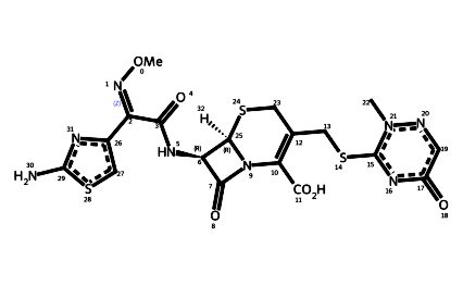 CO/N=C(\C(=O)N[C@@H]1C(=O)N2C(C(=O)O)=C(CSc3nc(=O)cnn3C)CS[C@H]12)c1csc(N)n1